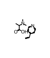 C=Cc1ccncc1.CC(C(=O)O)N(C)C